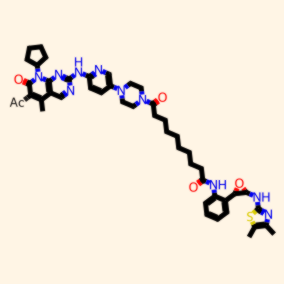 CC(=O)c1c(C)c2cnc(Nc3ccc(N4CCN(C(=O)CCCCCCCCC(=O)Nc5ccccc5C5OC5Nc5nc(C)c(C)s5)CC4)cn3)nc2n(C2CCCC2)c1=O